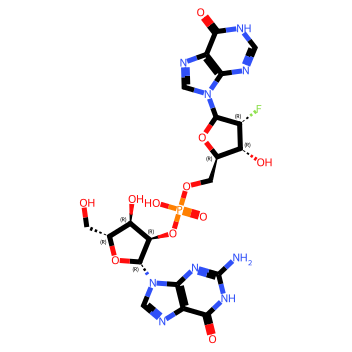 Nc1nc2c(ncn2[C@@H]2O[C@H](CO)[C@@H](O)[C@H]2OP(=O)(O)OC[C@H]2OC(n3cnc4c(=O)[nH]cnc43)[C@H](F)[C@@H]2O)c(=O)[nH]1